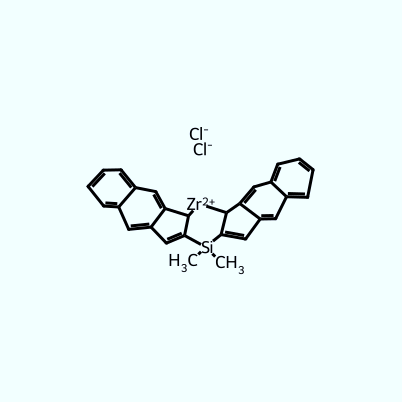 C[Si]1(C)C2=Cc3cc4ccccc4cc3[CH]2[Zr+2][CH]2C1=Cc1cc3ccccc3cc12.[Cl-].[Cl-]